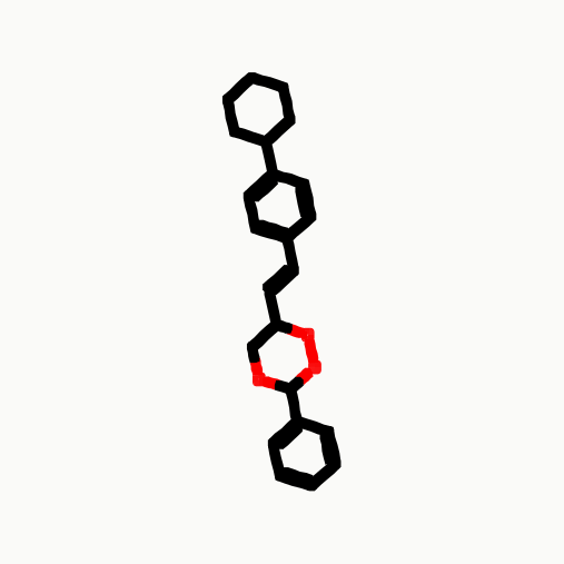 C(=CC1COC(c2ccccc2)OO1)c1ccc(C2CCCCC2)cc1